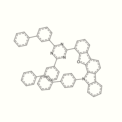 c1ccc(-c2ccc(-n3c4ccccc4c4ccc5c6cccc(-c7nc(-c8cccc(-c9ccccc9)c8)nc(-c8cccc(-c9ccccc9)c8)n7)c6oc5c43)cc2)cc1